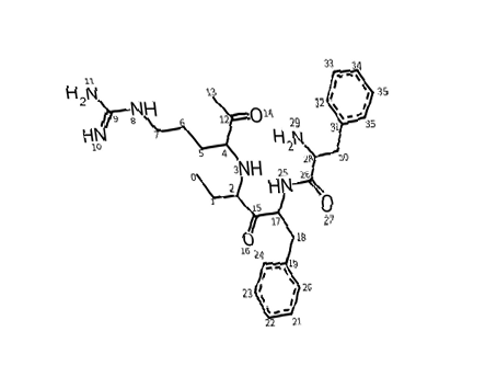 CCC(NC(CCCNC(=N)N)C(C)=O)C(=O)C(Cc1ccccc1)NC(=O)C(N)Cc1ccccc1